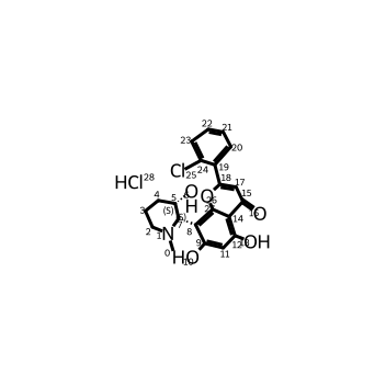 CN1CCC[C@H](O)[C@@H]1c1c(O)cc(O)c2c(=O)cc(-c3ccccc3Cl)oc12.Cl